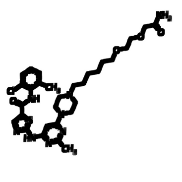 Cc1nc(Nc2ncc(C(=O)Nc3c(C)cccc3Cl)s2)cc(N2CCN(CCCCCCOCCOCC(N)=O)CC2)n1